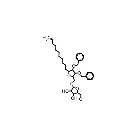 C=CCCCCCCCCCC1OC(COC2OC(CO)C(O)C2O)C(OCc2ccccc2)C1OCc1ccccc1